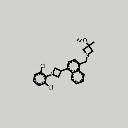 CC(=O)OC1(C)CN(Cc2ccc(C3CN(c4c(Cl)cccc4Cl)C3)c3ccccc23)C1